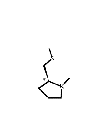 CSC[C@@H]1CCCN1C